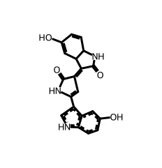 O=C1NC(c2c[nH]c3ccc(O)cc23)=C/C1=C1\C(=O)NC2C=CC(O)=CC12